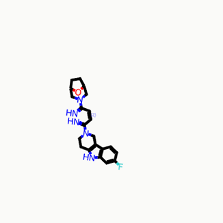 N=C(/C=C\C(=N)N1CC2CCC(C1)O2)N1CCc2[nH]c3cc(F)ccc3c2C1